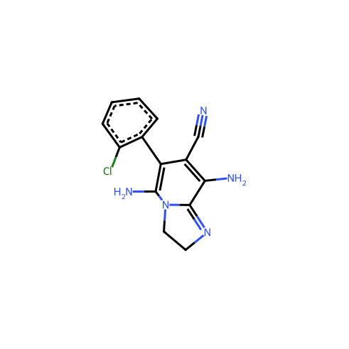 N#CC1=C(N)C2=NCCN2C(N)=C1c1ccccc1Cl